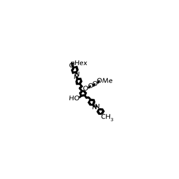 CCCCCCOc1ccc(/N=N/c2ccc(/C=C/c3cc(CO)c(/C=C/c4ccc(/N=N/c5ccc(C)cc5)cc4)cc3OCOCOCOC)cc2)cc1